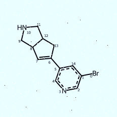 Brc1cncc(C2=CC3CNCC3C2)c1